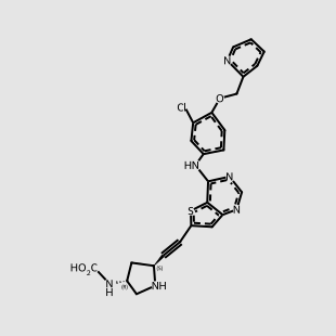 O=C(O)N[C@H]1CN[C@H](C#Cc2cc3ncnc(Nc4ccc(OCc5ccccn5)c(Cl)c4)c3s2)C1